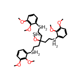 COc1cccc([SiH2]CCC(CC[SiH2]c2cccc(OC)c2OC)(CC[SiH2]c2cccc(OC)c2OC)O[SiH3])c1OC